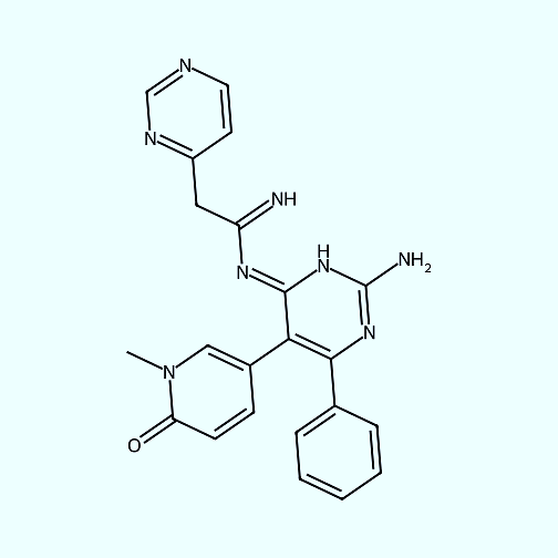 Cn1cc(-c2c(-c3ccccc3)nc(N)[nH]/c2=N\C(=N)Cc2ccncn2)ccc1=O